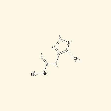 Cc1nscc1OC(=O)NC(C)(C)C